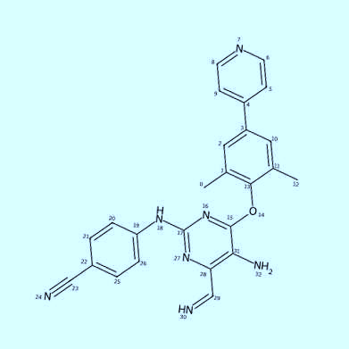 Cc1cc(-c2ccncc2)cc(C)c1Oc1nc(Nc2ccc(C#N)cc2)nc(C=N)c1N